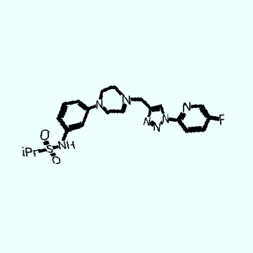 CC(C)S(=O)(=O)Nc1cccc(N2CCN(Cc3cn(-c4ccc(F)cn4)nn3)CC2)c1